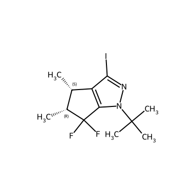 C[C@@H]1c2c(I)nn(C(C)(C)C)c2C(F)(F)[C@@H]1C